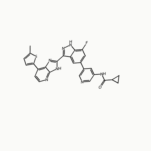 Cc1ccc(-c2ccnc3[nH]c(-c4n[nH]c5c(F)cc(-c6cncc(NC(=O)C7CC7)c6)cc45)nc23)s1